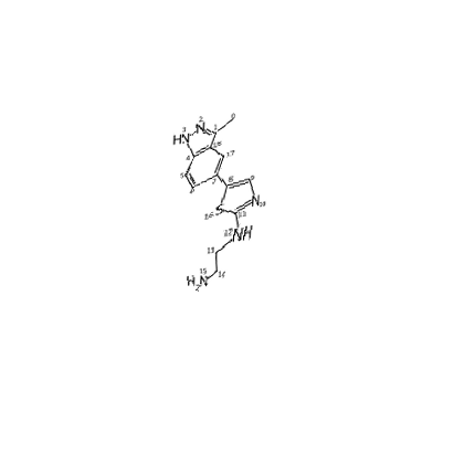 Cc1n[nH]c2ccc(-c3cnc(NCCN)s3)cc12